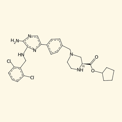 Nc1ncc(-c2ccc(CN3CCN[C@H](C(=O)OC4CCCC4)C3)cc2)nc1NCc1c(Cl)cccc1Cl